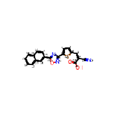 N#CC(=Cc1ccc(-c2noc(-c3ccc4ccccc4c3)n2)s1)C(=O)O